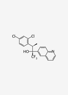 C[C@H](c1ccc(Cl)cc1Cl)[C@@](O)(c1ccc2ncccc2c1)C(F)(F)F